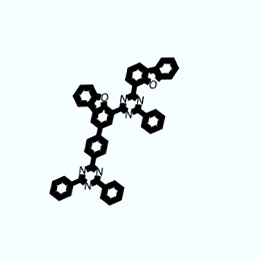 c1ccc(-c2nc(-c3ccccc3)nc(-c3ccc(-c4cc(-c5nc(-c6ccccc6)nc(-c6cccc7c6oc6ccccc67)n5)c5oc6ccccc6c5c4)cc3)n2)cc1